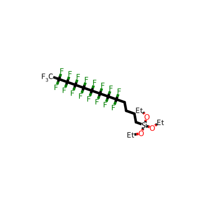 CCO[Si](CCCCC(F)(F)C(F)(F)C(F)(F)C(F)(F)C(F)(F)C(F)(F)C(F)(F)C(F)(F)C(F)(F)F)(OCC)OCC